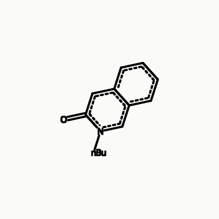 CCCCn1cc2ccccc2cc1=O